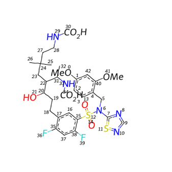 COc1ccc(CN(c2ncns2)S(=O)(=O)c2cc(CCC(O)C(CC(C)(C)CCNC(=O)O)C(C)NC(=O)O)c(F)cc2F)c(OC)c1